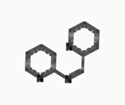 C(=N/c1ccccn1)/c1ccccn1